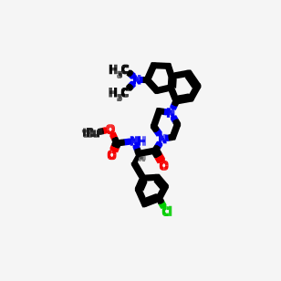 CN(C)C1CCc2cccc(N3CCN(C(=O)[C@@H](Cc4ccc(Cl)cc4)NC(=O)OC(C)(C)C)CC3)c2C1